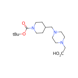 CC(C)(C)OC(=O)N1CCC(CN2CCN(CC(=O)O)CC2)CC1